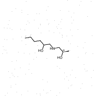 CCCCC(O)CNC[C@@H](C)O